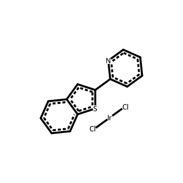 [Cl][Ir][Cl].c1ccc(-c2cc3ccccc3s2)nc1